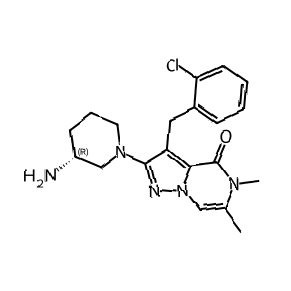 Cc1cn2nc(N3CCC[C@@H](N)C3)c(Cc3ccccc3Cl)c2c(=O)n1C